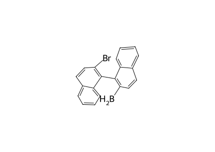 Bc1ccc2ccccc2c1-c1c(Br)ccc2ccccc12